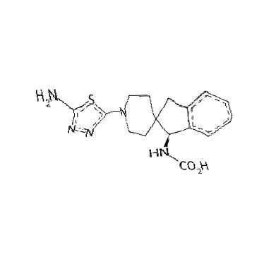 Nc1nnc(N2CCC3(CC2)Cc2ccccc2[C@H]3NC(=O)O)s1